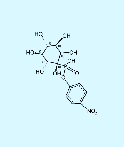 O=[N+]([O-])c1ccc(OP(=O)(O)[C@@]2(O)[C@H](O)[C@H](O)[C@@H](O)[C@H](O)[C@H]2O)cc1